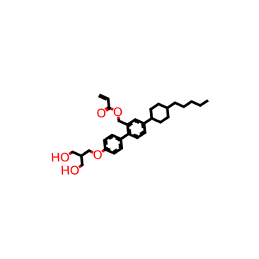 C=CC(=O)OCc1cc(C2CCC(CCCCC)CC2)ccc1-c1ccc(OCC(CO)CO)cc1